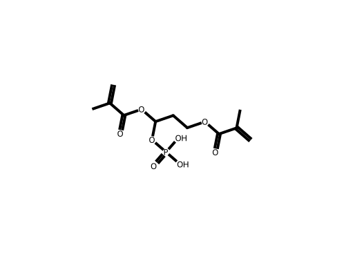 C=C(C)C(=O)OCCC(OC(=O)C(=C)C)OP(=O)(O)O